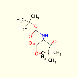 CC(C)(C)OC(=O)N[C@H](C(=O)O)C(=O)C(C)(C)C